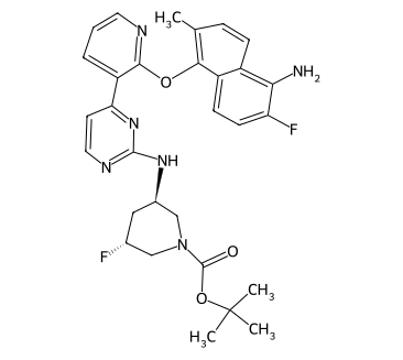 Cc1ccc2c(N)c(F)ccc2c1Oc1ncccc1-c1ccnc(N[C@@H]2C[C@@H](F)CN(C(=O)OC(C)(C)C)C2)n1